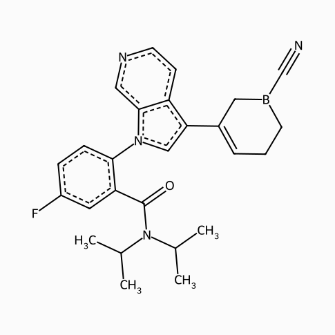 CC(C)N(C(=O)c1cc(F)ccc1-n1cc(C2=CCCB(C#N)C2)c2ccncc21)C(C)C